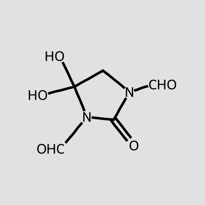 O=CN1CC(O)(O)N(C=O)C1=O